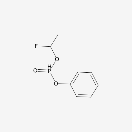 CC(F)O[PH](=O)Oc1ccccc1